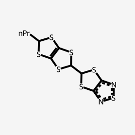 CCCC1SC2=C(S1)SC(C1Sc3nsnc3S1)S2